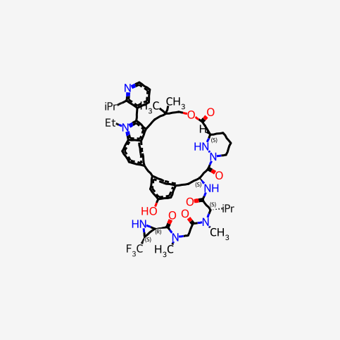 CCn1c(-c2cccnc2C(C)C)c2c3cc(ccc31)-c1cc(O)cc(c1)C[C@H](NC(=O)[C@H](C(C)C)N(C)C(=O)CN(C)C(=O)[C@@H]1N[C@@H]1C(F)(F)F)C(=O)N1CCC[C@H](N1)C(=O)OCC(C)(C)C2